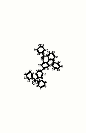 O=P(c1ccccc1)(c1ccccc1)c1ccc(-c2ccc3c(c2)nc(-c2ccccc2)c2cccc(-c4ccccc4)c23)cc1